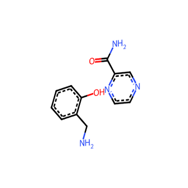 NC(=O)c1cnccn1.NCc1ccccc1O